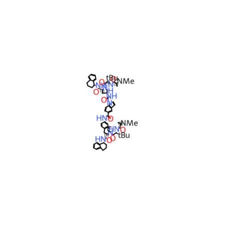 CN[C@@H](C)C(=O)NC(C(=O)N1Cc2cc(NC(=O)c3ccc4c(ccn4C(=O)NC4C[C@@H](C(=O)NC5CCCc6ccccc65)N(C(=O)[C@@H](NC(=O)[C@H](C)NC)C(C)(C)C)C4)c3)ccc2C[C@H]1C(=O)NC1CCCc2ccccc21)C(C)(C)C